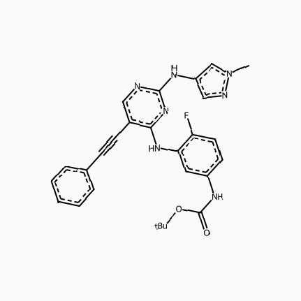 Cn1cc(Nc2ncc(C#Cc3ccccc3)c(Nc3cc(NC(=O)OC(C)(C)C)ccc3F)n2)cn1